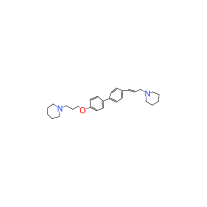 C(=C\c1ccc(-c2ccc(OCCCN3CCCCC3)cc2)cc1)/CN1CCCCC1